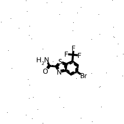 NC(=O)c1nc2cc(Br)cc(C(F)(F)F)c2s1